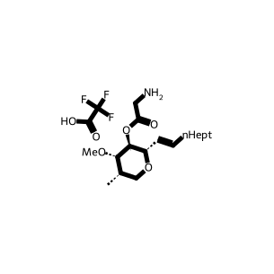 CCCCCCC/C=C/[C@@H]1OC[C@H](C)[C@H](OC)[C@H]1OC(=O)CN.O=C(O)C(F)(F)F